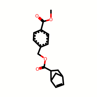 COC(=O)c1ccc(COC(=O)C2CC3C=CC2C3)cc1